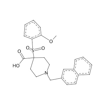 COc1ccccc1S(=O)(=O)C1(C(=O)O)CCN(Cc2ccc3ccccc3c2)CC1